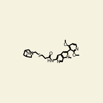 COc1ccnc(OC)c1-c1cc2cc(NC(=O)CCSCN3CC4CC(C3)N4)ncc2n1C